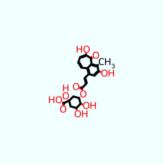 Cc1c(O)cc(/C=C/C(=O)OC2CC(O)(C(=O)O)CC(O)C2O)c2cccc(O)c(=O)c12